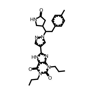 CCCn1c(=O)c2[nH]c(-c3cnn(C(Cc4ccc(C)cc4)C4CNC(=O)C4)c3)nc2n(CCC)c1=O